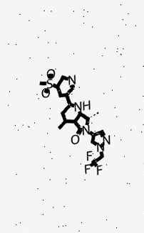 CC1CC(C2C=NCC(S(C)(=O)=O)C2)NC2C1C(=O)N(C1C=NN(CC(F)(F)F)C1)[C@H]2C